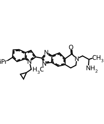 CC(N)CN1CCc2cc3c(cc2C1=O)nc(-c1cc2ccc(C(C)C)cc2n1CC1CC1)n3C